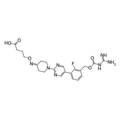 N=C(N)NC(=O)OCc1cccc(-c2cnc(N3CCC(=NOCCCC(=O)O)CC3)nc2)c1F